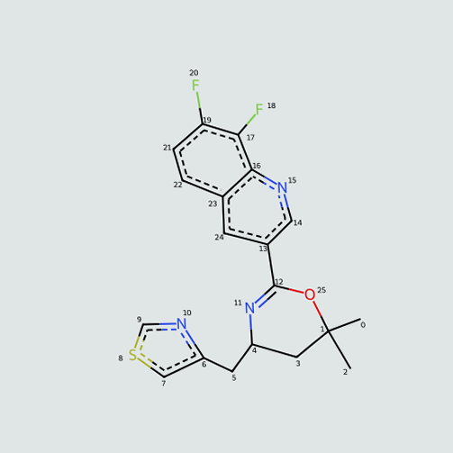 CC1(C)CC(Cc2cscn2)N=C(c2cnc3c(F)c(F)ccc3c2)O1